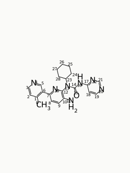 Cc1ccncc1-c1ccc(N)c(N(C(=O)Nc2ccncn2)C2CCCCC2)n1